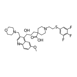 COc1ccc2ncc(CN3CCOCC3)c([C@H](O)CCC3(C(=O)O)CCN(CCSc4cc(F)c(F)c(F)c4)CC3)c2c1